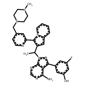 CC(c1cc2ccccn2c1-c1cc(CN2CCN(C)CC2)ccn1)n1nc(-c2cc(O)cc(F)c2)c2c(N)ncnc21